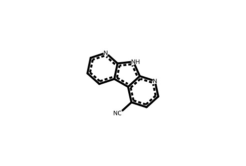 N#Cc1ccnc2[nH]c3ncccc3c12